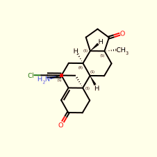 C[C@]12CC[C@H]3[C@@H](C[C@H](N)C4=CC(=O)CC[C@@]43CC#CCl)[C@@H]1CCC2=O